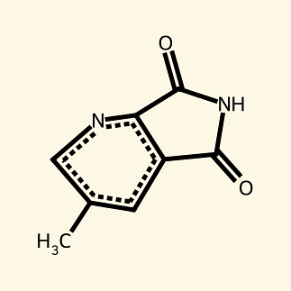 Cc1cnc2c(c1)C(=O)NC2=O